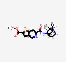 COC(=O)c1cc2cnc(C(=O)N[C@@H]3C4CCN(CC4)[C@H]3C)cc2s1